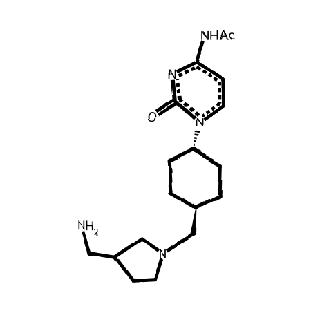 CC(=O)Nc1ccn([C@H]2CC[C@H](CN3CCC(CN)C3)CC2)c(=O)n1